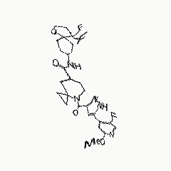 COc1cc(-c2cc(C(=O)N3CCC(C(=O)NC4CCC5(CC4)OCCC5(F)F)CC34CC4)n[nH]2)c(F)cn1